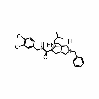 CC(C)CC1[C@@H]2C3CNC1(C(=O)NCc1ccc(Cl)c(Cl)c1)CC3CN2Cc1ccccc1